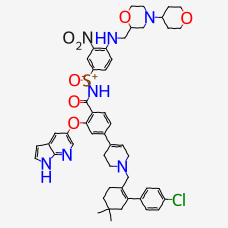 CC1(C)CCC(CN2CC=C(c3ccc(C(=O)N[S+]([O-])c4ccc(NCC5CN(C6CCOCC6)CCO5)c([N+](=O)[O-])c4)c(Oc4cnc5[nH]ccc5c4)c3)CC2)=C(c2ccc(Cl)cc2)C1